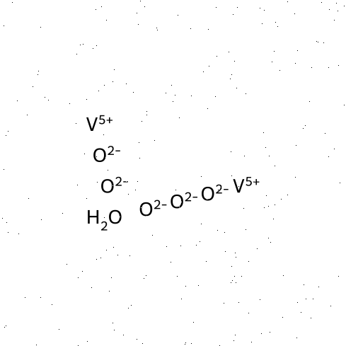 O.[O-2].[O-2].[O-2].[O-2].[O-2].[V+5].[V+5]